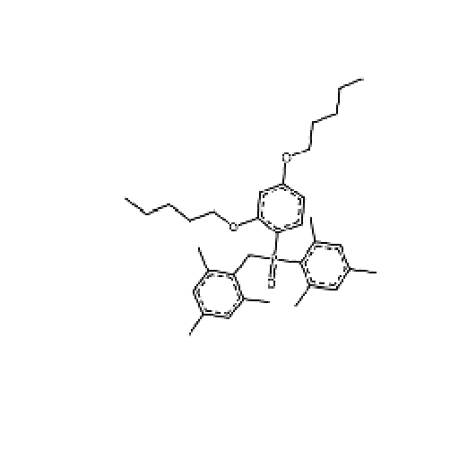 CCCCCOc1ccc(P(=O)(Cc2c(C)cc(C)cc2C)c2c(C)cc(C)cc2C)c(OCCCCC)c1